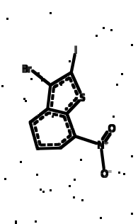 O=[N+]([O-])c1cccc2c(Br)c(I)sc12